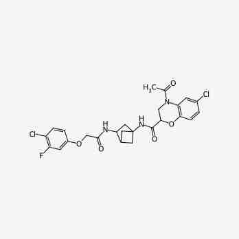 CC(=O)N1CC(C(=O)NC23CC(C2)C(NC(=O)COc2ccc(Cl)c(F)c2)C3)Oc2ccc(Cl)cc21